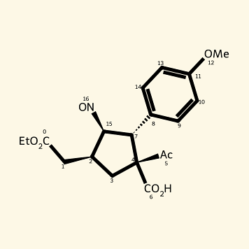 CCOC(=O)C[C@@H]1C[C@@](C(C)=O)(C(=O)O)[C@@H](c2ccc(OC)cc2)[C@@H]1N=O